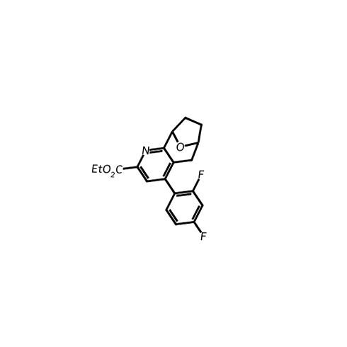 CCOC(=O)c1cc(-c2ccc(F)cc2F)c2c(n1)C1CCC(C2)O1